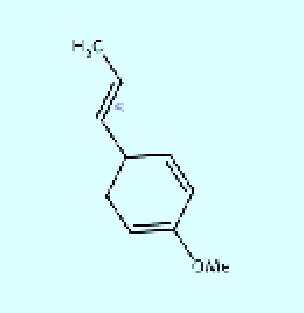 C/C=C/C1C=CC(OC)=CC1